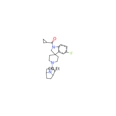 CCOC(=O)N1C2CCC1CC(N1CCC3(CC1)CN(C(=O)C1CC1)c1ccc(F)cc13)C2